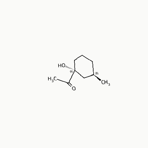 CC(=O)[C@@]1(O)CCC[C@@H](C)C1